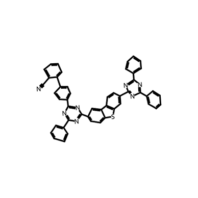 N#Cc1ccccc1-c1ccc(-c2nc(-c3ccccc3)nc(-c3ccc4sc5cc(-c6nc(-c7ccccc7)nc(-c7ccccc7)n6)ccc5c4c3)n2)cc1